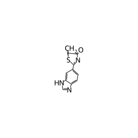 C=C1SC(c2ccc3nc[nH]c3c2)=NC1=O